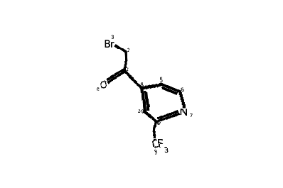 O=C(CBr)c1ccnc(C(F)(F)F)c1